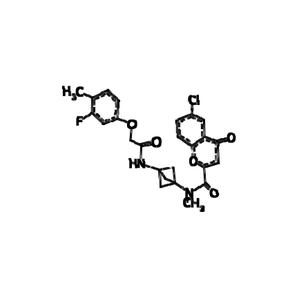 Cc1ccc(OCC(=O)NC23CC(N(C)C(=O)c4cc(=O)c5cc(Cl)ccc5o4)(C2)C3)cc1F